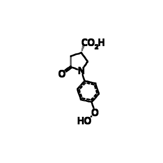 O=C(O)[C@H]1CC(=O)N(c2ccc(OO)cc2)C1